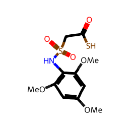 COc1cc(OC)c(NS(=O)(=O)CC(=O)S)c(OC)c1